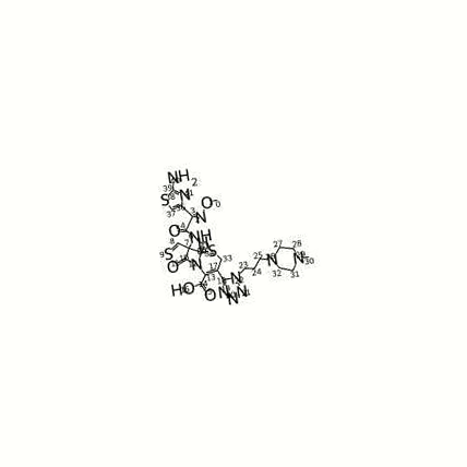 CON=C(C(=O)NC1(C=S)C(=O)N2C(C(=O)O)=C(c3nnnn3CCCN3CCN(C)CC3)CS[C@H]21)c1csc(N)n1